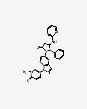 Cn1cc(-n2ncc3cc(N4C(=O)CC(Nc5ncccn5)[C@H]4c4ccccc4)ccc32)ccc1=O